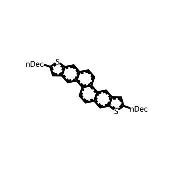 CCCCCCCCCCc1cc2cc3c(ccc4c5cc6cc(CCCCCCCCCC)sc6cc5ccc34)cc2s1